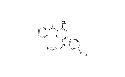 N#CC(=Cc1cn(CC(=O)O)c2cc([N+](=O)[O-])ccc12)C(=O)Nc1ccccc1